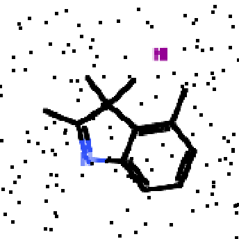 CC1=Nc2cccc(C)c2C1(C)C.I